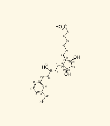 O=C(O)CCCCCC[C@@H]1[C@@H](CCC(O)C=Cc2cccc(CF)c2)[C@H](O)C[C@@H]1O